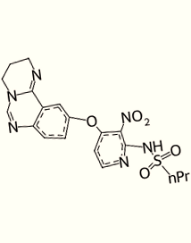 CCCS(=O)(=O)Nc1nccc(Oc2ccc3c(c2)C2=NCCCN2C=N3)c1[N+](=O)[O-]